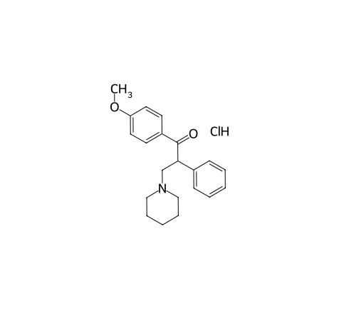 COc1ccc(C(=O)C(CN2CCCCC2)c2ccccc2)cc1.Cl